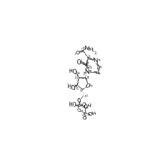 NC(=O)c1nccn([C@@H]2O[C@H](COP(=O)(O)OP(=O)(O)O)[C@@H](O)[C@H]2O)c1=O